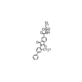 CS(=O)(=O)NC(=O)c1ccc2c(c1)C(=O)N(c1ccc(-c3ccccc3)cc1C(=O)O)C2=O